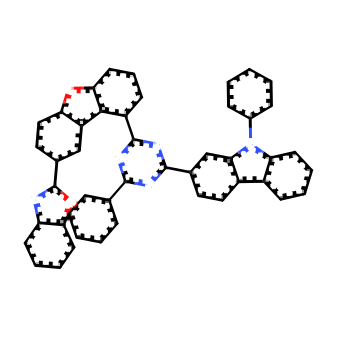 c1ccc(-c2nc(-c3ccc4c5ccccc5n(-c5ccccc5)c4c3)nc(-c3cccc4oc5ccc(-c6nc7ccccc7o6)cc5c34)n2)cc1